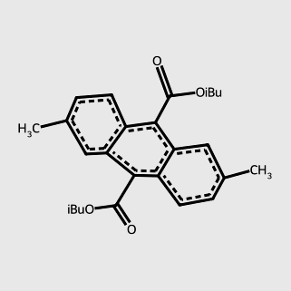 Cc1ccc2c(C(=O)OCC(C)C)c3cc(C)ccc3c(C(=O)OCC(C)C)c2c1